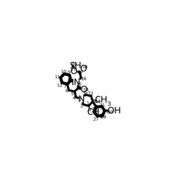 C[C@H]1CN(CC(Cc2ccccc2)C(=O)NCC(=O)OS)CC[C@@]1(C)c1cccc(O)c1